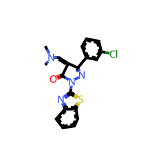 CN(C)C=C1C(=O)N(c2nc3ccccc3s2)N=C1c1cccc(Cl)c1